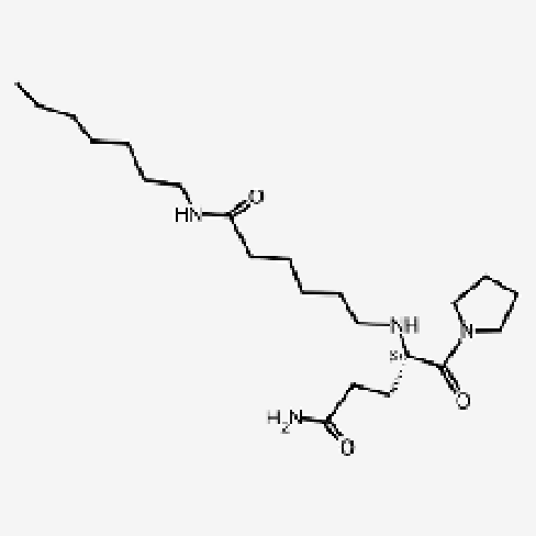 CCCCCCCNC(=O)CCCCCN[C@@H](CCC(N)=O)C(=O)N1CCCC1